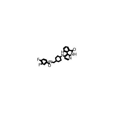 O=C(NCC1CCC(Nc2ccnc3[nH]c(=O)c4ccccc4c23)CC1)c1ccc(F)c(F)c1